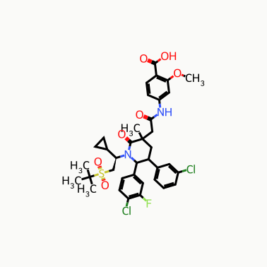 COc1cc(NC(=O)CC2(C)CC(c3cccc(Cl)c3)C(c3ccc(Cl)c(F)c3)N([C@@H](CS(=O)(=O)C(C)(C)C)C3CC3)C2=O)ccc1C(=O)O